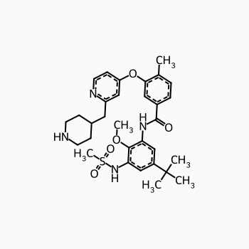 COc1c(NC(=O)c2ccc(C)c(Oc3ccnc(CC4CCNCC4)c3)c2)cc(C(C)(C)C)cc1NS(C)(=O)=O